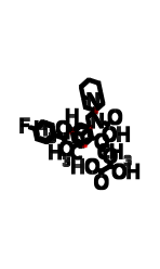 CCC(CCCN1C2CCCC1CC(N(C(=O)O)c1cc(C)ccc1OC)C2)NC(=O)c1ccc(F)cc1.O=C(O)C(=O)O